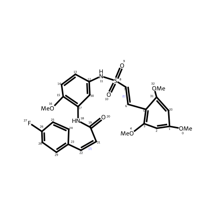 COc1cc(OC)c(/C=C/S(=O)(=O)Nc2ccc(OC)c(NC(=O)/C=C\c3ccc(F)cc3)c2)c(OC)c1